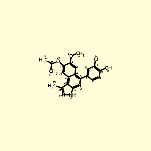 COc1cc2c(-c3ccc(O)c(Cl)c3)nc3[nH]nc(C)c3c2cc1OC(C)C